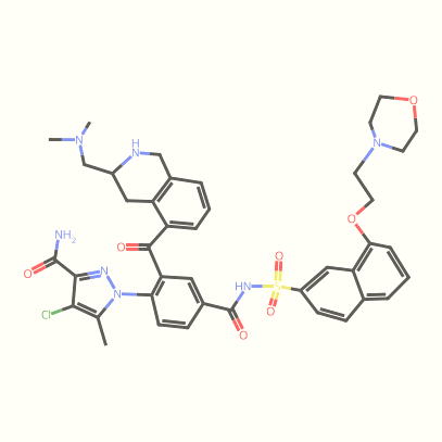 Cc1c(Cl)c(C(N)=O)nn1-c1ccc(C(=O)NS(=O)(=O)c2ccc3cccc(OCCN4CCOCC4)c3c2)cc1C(=O)c1cccc2c1CC(CN(C)C)NC2